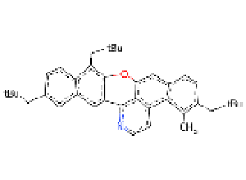 Cc1c(CC(C)(C)C)ccc2cc3c4c(nccc4c12)-c1cc2cc(CC(C)(C)C)ccc2c(CC(C)(C)C)c1O3